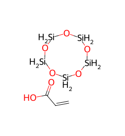 C=CC(=O)O.O1[SiH2]O[SiH2]O[SiH2]O[SiH2]O[SiH2]1